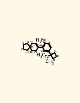 CN(C)C1(c2ccc(N)c(C3=CCC4(CCCC4)CC3)c2)CCC1